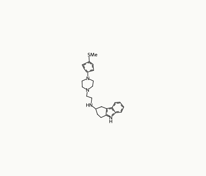 CSc1ccc(N2CCN(CCNC3CCc4[nH]c5ccccc5c4C3)CC2)cc1